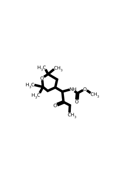 CCC(=O)C(NC(=O)OC)C1CC(C)(C)OC(C)(C)C1